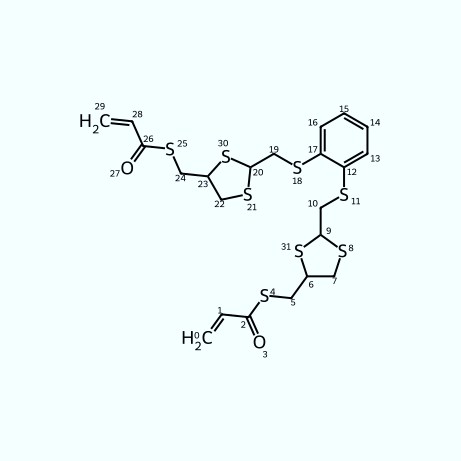 C=CC(=O)SCC1CSC(CSc2ccccc2SCC2SCC(CSC(=O)C=C)S2)S1